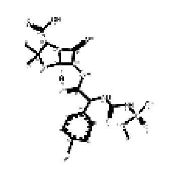 COP(=O)(O)NC(=O)NC(C(=O)N[C@@H]1C(=O)N2[C@@H]1SC(C)(C)[C@@H]2C(=O)O)c1ccc(O)cc1